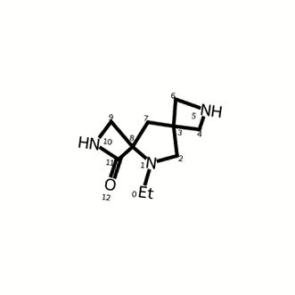 CCN1CC2(CNC2)CC12CNC2=O